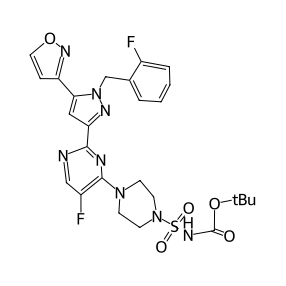 CC(C)(C)OC(=O)NS(=O)(=O)N1CCN(c2nc(-c3cc(-c4ccon4)n(Cc4ccccc4F)n3)ncc2F)CC1